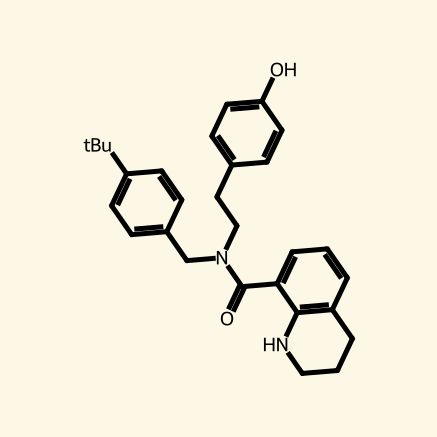 CC(C)(C)c1ccc(CN(CCc2ccc(O)cc2)C(=O)c2cccc3c2NCCC3)cc1